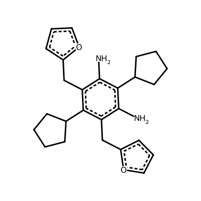 Nc1c(Cc2ccco2)c(C2CCCC2)c(Cc2ccco2)c(N)c1C1CCCC1